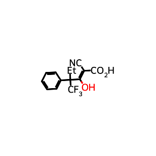 CCC(/C(O)=C(\C#N)C(=O)O)(c1ccccc1)C(F)(F)F